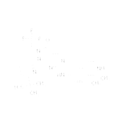 CC(C)(C)c1cccc(-n2c3nc(Nc4ccc5c(c4)CCNC5(C)C)ncc3c(=O)n2CC(F)(F)F)n1